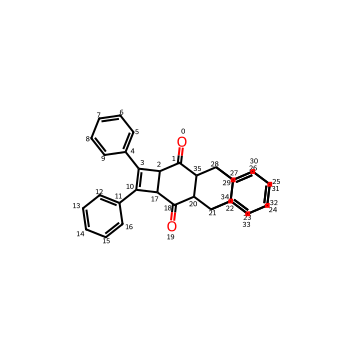 O=C1C2C(c3ccccc3)=C(c3ccccc3)C2C(=O)C2C3c4ccccc4C(c4ccccc43)C12